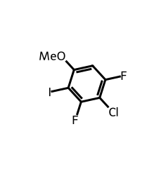 COc1cc(F)c(Cl)c(F)c1I